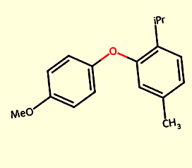 COc1ccc(Oc2cc(C)ccc2C(C)C)cc1